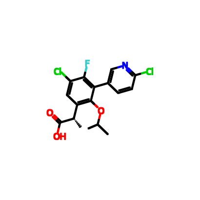 CC(C)Oc1c([C@H](C)C(=O)O)cc(Cl)c(F)c1-c1ccc(Cl)nc1